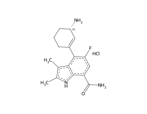 Cc1[nH]c2c(C(N)=O)cc(F)c(C3=C[C@@H](N)CCC3)c2c1C.Cl